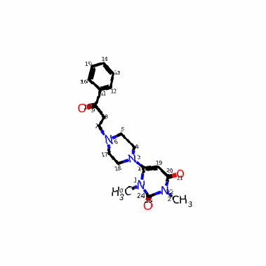 Cn1c(N2CCN(CCC(=O)c3ccccc3)CC2)cc(=O)n(C)c1=O